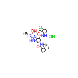 Cc1c(Cl)cccc1NC(=O)c1cc(NC(=O)c2ccccc2C(F)(F)F)cc2[nH]c(N[C@H](CO)C(C)(C)C)nc12.Cl